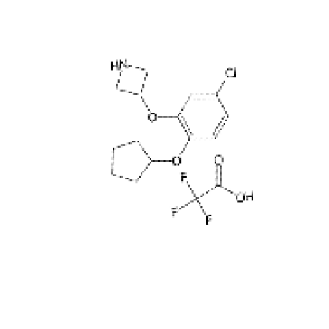 Clc1ccc(OC2CCCC2)c(OC2CNC2)c1.O=C(O)C(F)(F)F